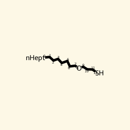 CCCCCCCCCCCCCCOCCCS